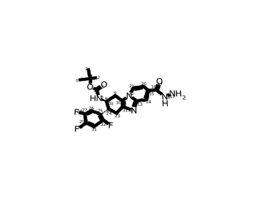 CC(C)(C)OC(=O)N[C@H]1Cc2c(nc3cc(C(=O)NN)ccn23)C[C@@H]1c1cc(F)c(F)cc1F